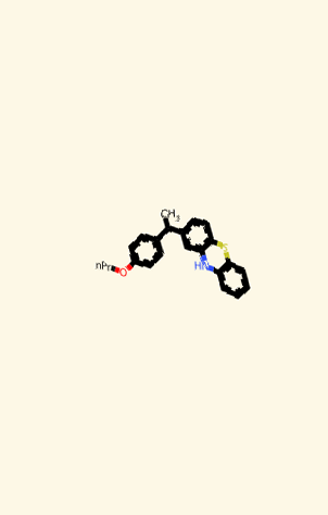 CCCOc1ccc(C(C)c2ccc3c(c2)Nc2ccccc2S3)cc1